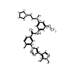 Cc1ccc(C(=O)Nc2cc(OC(F)(F)F)cc(N(C)CCN3CCCC3)c2)cc1-n1cc(-c2cnn(C)c2C)nn1